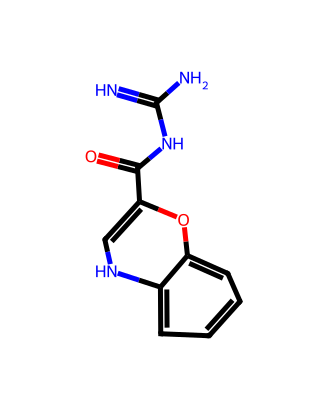 N=C(N)NC(=O)C1=CNc2ccccc2O1